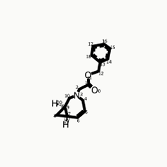 O=C(CN1CC=C[C@H]2C[C@H]2C1)OCc1ccccc1